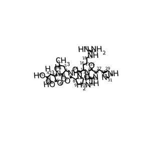 CC(C)CC(NC(=O)C1CCCN1C(=O)C(CCCNC(=N)N)NC(=O)C(Cc1c[nH]cn1)NC(=O)CN)C(=O)NC(CC(=O)O)C(=O)O